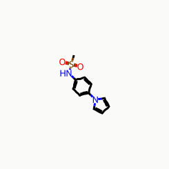 CS(=O)(=O)Nc1ccc(-n2cccc2)cc1